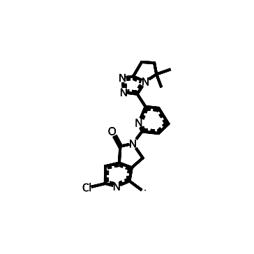 [CH2]c1nc(Cl)cc2c1CN(c1cccc(-c3nnc4n3C(C)(C)CC4)n1)C2=O